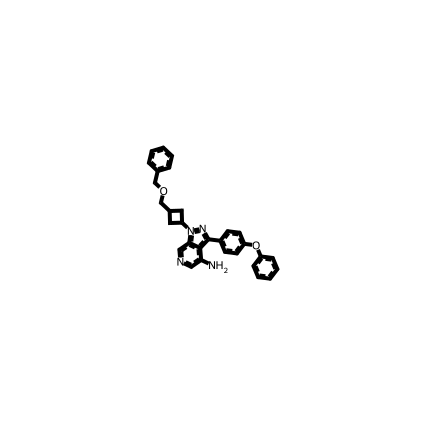 Nc1cncc2c1c(-c1ccc(Oc3ccccc3)cc1)nn2C1CC(COCc2ccccc2)C1